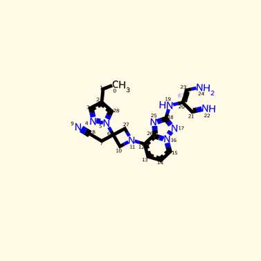 CCc1cnn(C2(CC#N)CN(c3cccn4nc(N/C(C=N)=C/N)nc34)C2)c1